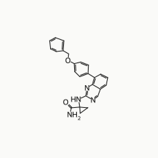 NC(=O)C1(Nc2ncc3cccc(-c4ccc(OCc5ccccc5)cc4)c3n2)CC1